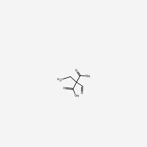 CCC(C=O)(C(=O)O)C(=O)O